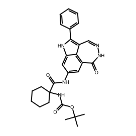 CC(C)(C)OC(=O)NC1(C(=O)Nc2cc3c4c(c(-c5ccccc5)[nH]c4c2)C=NNC3=O)CCCCC1